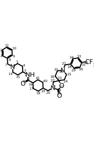 O=C(NC1CCN(Cc2ccccc2)CC1)C1CCC(CN2CC3(CCN(Cc4ccc(C(F)(F)F)cc4)CC3)OC2=O)CC1